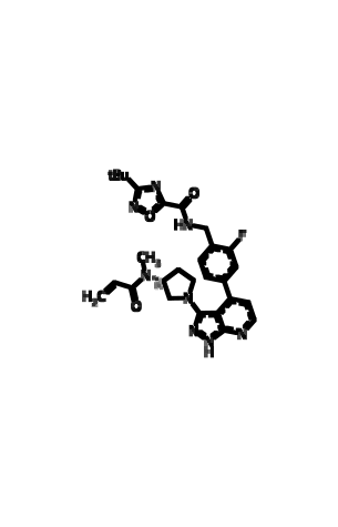 C=CC(=O)N(C)[C@@H]1CCN(c2n[nH]c3nccc(-c4ccc(CNC(=O)c5nc(C(C)(C)C)no5)c(F)c4)c23)C1